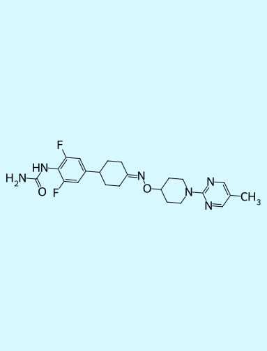 Cc1cnc(N2CCC(ON=C3CCC(c4cc(F)c(NC(N)=O)c(F)c4)CC3)CC2)nc1